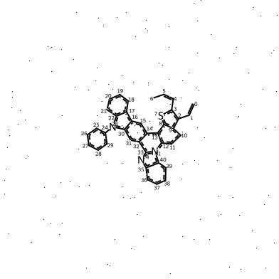 C=Cc1c(/C=C\C)sc2c1ccc1c2c2cc3c4ccccc4n(-c4ccccc4)c3cc2c2nc3ccccc3n12